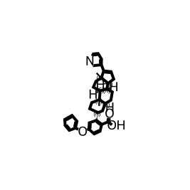 C[C@]12CC[C@@H](c3cc(Oc4ccccc4)ccc3C(=O)O)C[C@@H]1CC[C@@H]1[C@@H]2CC[C@]2(C)C(c3cccnc3)=CC[C@@H]12